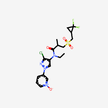 CCN(C(=O)C(C)CS(=O)(=O)CC1CC1(F)F)c1cn(-c2ccc[n+]([O-])c2)nc1Cl